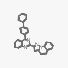 c1ccc(-c2ccc(-c3nc(-c4cc5ccc6ccccc6n5n4)nc4ccccc34)cc2)cc1